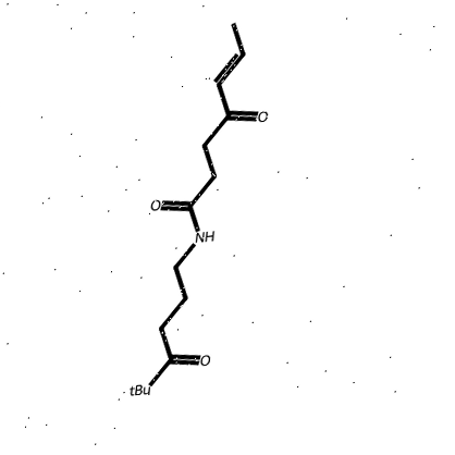 C/C=C/C(=O)CCC(=O)NCCCC(=O)C(C)(C)C